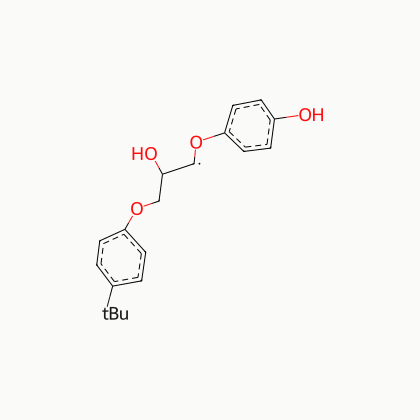 CC(C)(C)c1ccc(OCC(O)[CH]Oc2ccc(O)cc2)cc1